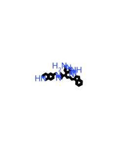 Nc1cc(C(CCCC2CCc3ccccc32)c2cnn(Cc3ccc4c(c3)CCNC4)c2)c2nn[nH]c2n1